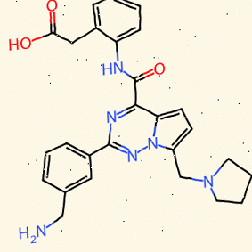 NCc1cccc(-c2nc(C(=O)Nc3ccccc3CC(=O)O)c3ccc(CN4CCCC4)n3n2)c1